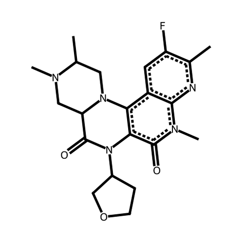 Cc1nc2c(cc1F)c1c(c(=O)n2C)N(C2CCOC2)C(=O)C2CN(C)C(C)CN12